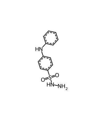 NNS(=O)(=O)c1ccc(Nc2ccccc2)cc1